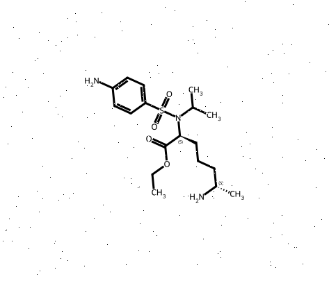 CCOC(=O)[C@H](CCC[C@H](C)N)N(C(C)C)S(=O)(=O)c1ccc(N)cc1